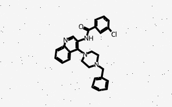 O=C(Nc1cnc2ccccc2c1N1CCN(Cc2ccccc2)CC1)c1cccc(Cl)c1